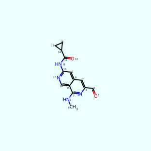 CNc1nc(C=O)cc2cc(NC(=O)C3CC3)ncc12